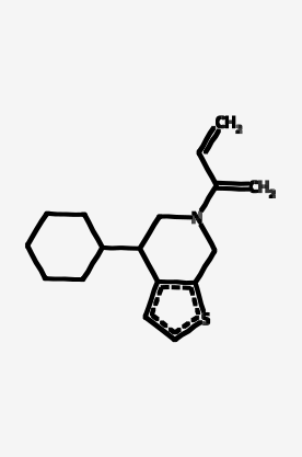 C=CC(=C)N1Cc2sccc2C(C2CCCCC2)C1